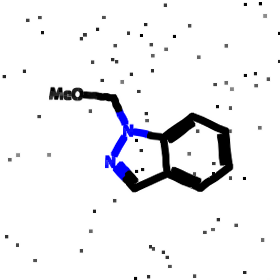 COCn1ncc2cc[c]cc21